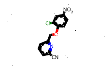 N#Cc1cccc(COc2ccc([N+](=O)[O-])cc2Cl)n1